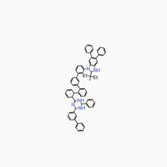 CCC(C)(CC)C1Nc2cc(-c3ccccc3)c(-c3ccccc3)cc2N1c1cccc(-c2cccc(-c3ccccc3C3C=CC=CC3C3=NC(c4cccc(-c5ccccc5)c4)NC(c4ccccc4)N3)c2)c1